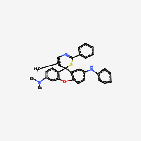 CCN(CC)c1ccc2c(c1)Oc1ccc(Nc3ccccc3)cc1C21SC(c2ccccc2)=Nc2ccc(C)cc21